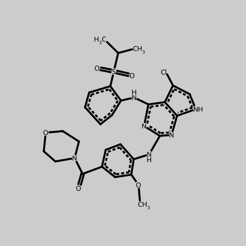 COc1cc(C(=O)N2CCOCC2)ccc1Nc1nc(Nc2ccccc2S(=O)(=O)C(C)C)c2c(Cl)c[nH]c2n1